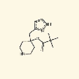 CC(C)(C)C(=O)OC1(Cc2cc[nH]n2)CCNCC1